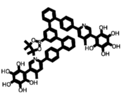 Cc1cc(-c2ccc(-c3ccccc3-c3cc(B4OC(C)(C)C(C)(C)O4)cc(-c4ccccc4-c4ccc(-c5cc(C)c(-c6c(O)c(O)c(O)c(O)c6O)cn5)cc4)c3)cc2)ncc1-c1c(O)c(O)c(O)c(O)c1O